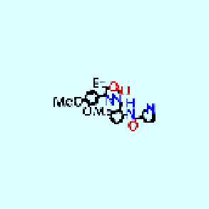 CCC1OC(=O)N(Cc2ccccc2NC(=O)c2cccnc2)N=C1c1ccc(OC)c(OC)c1